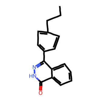 CCCc1ccc(-c2n[nH]c(=O)c3ccccc23)cc1